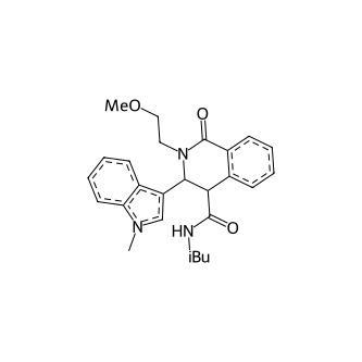 CCC(C)NC(=O)C1c2ccccc2C(=O)N(CCOC)C1c1cn(C)c2ccccc12